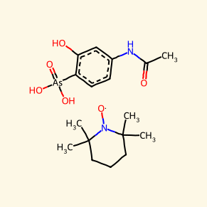 CC(=O)Nc1ccc([As](=O)(O)O)c(O)c1.CC1(C)CCCC(C)(C)N1[O]